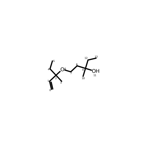 C=CC(C)(CC)OCCC(C)(O)CC